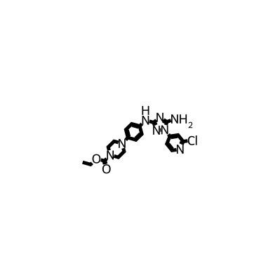 CCOC(=O)N1CCN(c2ccc(Nc3nc(N)n(-c4ccnc(Cl)c4)n3)cc2)CC1